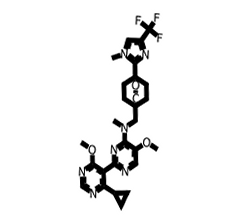 COc1cnc(-c2c(OC)ncnc2C2CC2)nc1N(C)CC12CCC(c3nc(C(F)(F)F)cn3C)(CC1)OC2